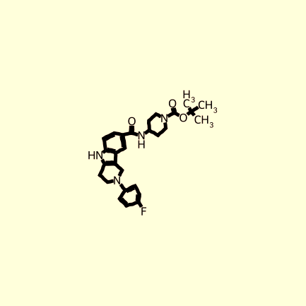 CC(C)(C)OC(=O)N1CCC(NC(=O)c2ccc3[nH]c4c(c3c2)CN(c2ccc(F)cc2)CC4)CC1